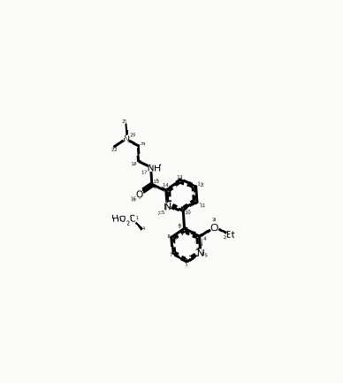 CC(=O)O.CCOc1ncccc1-c1cccc(C(=O)NCCN(C)C)n1